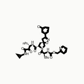 CCC[C@H](NC(=O)[C@@H]1C[C@]2(CC(c3cccc(Cl)c3)=NO2)CN1C(=O)[C@@H](NC(=O)OCc1ccccn1)C(C)(C)C)C(=O)C(=O)NC1CC1